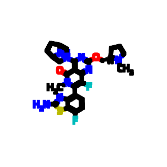 CN1CCC[C@H]1COc1nc(N2CC3CCC(C2)N3)c2c(=O)n(C)c(-c3ccc(F)c4sc(N)nc34)c(F)c2n1